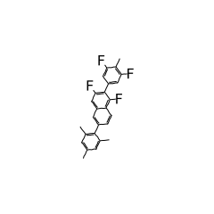 Cc1cc(C)c(-c2ccc3c(F)c(-c4cc(F)c(C)c(F)c4)c(F)cc3c2)c(C)c1